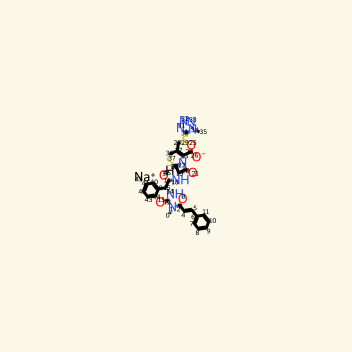 CN(C(=O)C=Cc1ccccc1)C(=O)NC(C(=O)NC1C(=O)N2C(C(=O)[O-])=C(CSc3nnnn3C)CS[C@@H]12)c1ccccc1.[Na+]